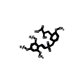 COc1cc(OC)c(/C=C/S(=O)(=O)Cc2ccc(OC)c(CC(O)C(=O)O)c2)c(OC)c1